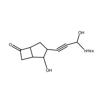 CCCCCCC(O)C#CC1CC2C(=O)CC2C1O